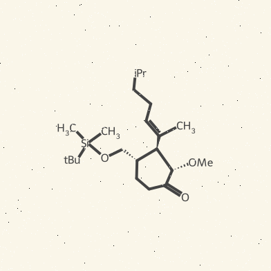 CO[C@@H]1C(=O)CC[C@H](CO[Si](C)(C)C(C)(C)C)[C@H]1/C(C)=C/CCC(C)C